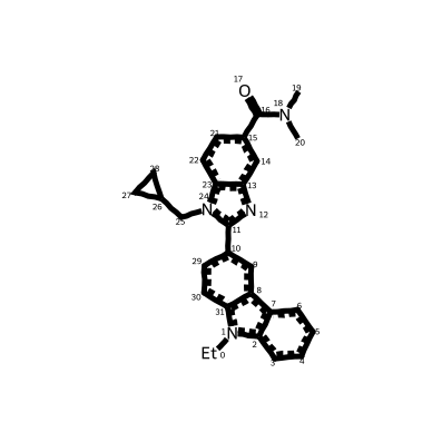 CCn1c2ccccc2c2cc(-c3nc4cc(C(=O)N(C)C)ccc4n3CC3CC3)ccc21